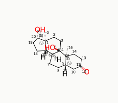 C[C@]12CC[C@@]3(O)[C@@H](CC[C@H]4CC(=O)CC[C@@]43C)[C@@H]1CC[C@@H]2O